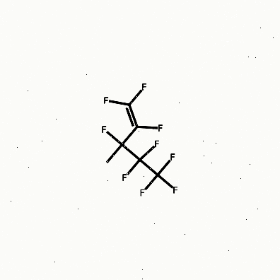 CC(F)(C(F)=C(F)F)C(F)(F)C(F)(F)F